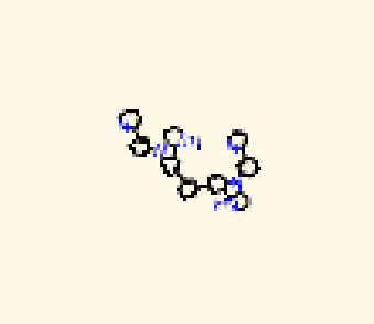 c1ccc(-c2cccc(N3c4ccc(-c5cccc(-c6ccc7c(c6)C6NCCCC6N7c6cccc(-c7ccccn7)c6)c5)cc4C4NCCCC43)c2)nc1